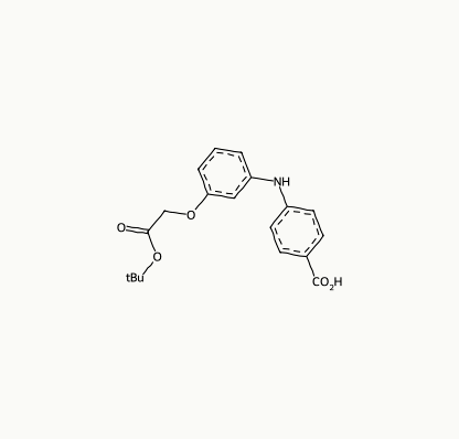 CC(C)(C)OC(=O)COc1cccc(Nc2ccc(C(=O)O)cc2)c1